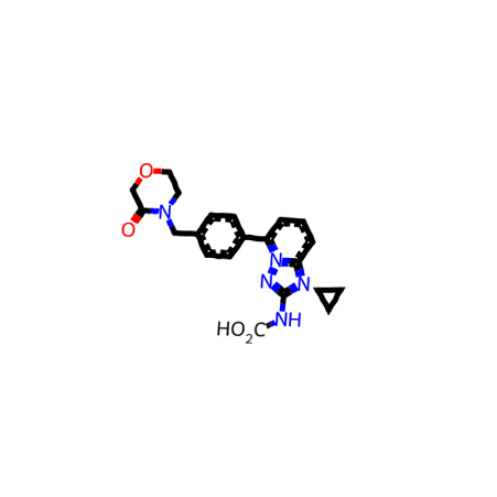 C1CC1.O=C(O)Nc1nc2cccc(-c3ccc(CN4CCOCC4=O)cc3)n2n1